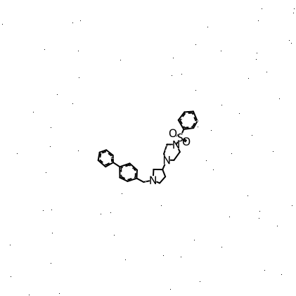 O=S(=O)(c1ccccc1)N1CCN(C2CCN(Cc3ccc(-c4ccccc4)cc3)C2)CC1